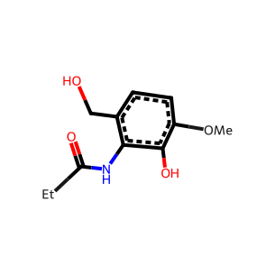 CCC(=O)Nc1c(CO)ccc(OC)c1O